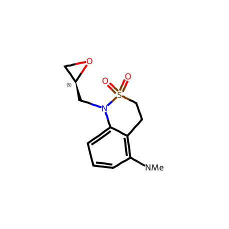 CNc1cccc2c1CCS(=O)(=O)N2C[C@H]1CO1